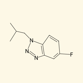 CC(C)Cn1nnc2cc(F)ccc21